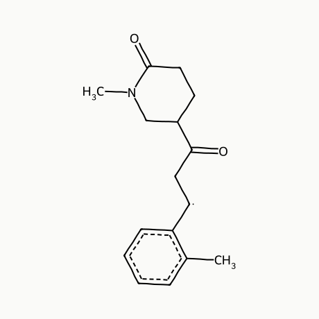 Cc1ccccc1[CH]CC(=O)C1CCC(=O)N(C)C1